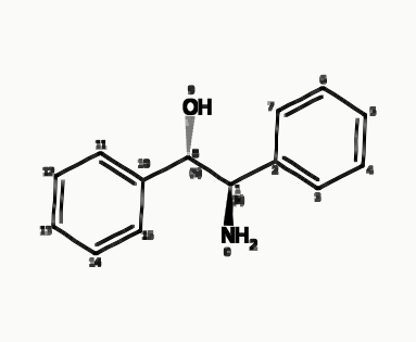 N[C@H](c1ccccc1)[C@@H](O)c1ccccc1